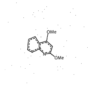 COc1cc(OC)c2ccccc2n1